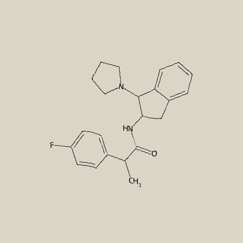 CC(C(=O)NC1Cc2ccccc2C1N1CCCC1)c1ccc(F)cc1